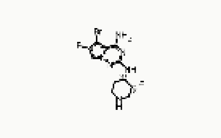 Nc1nc(N[C@H]2CCNC[C@H]2F)nn2cc(F)c(Br)c12